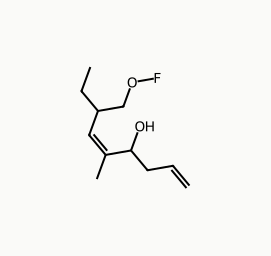 C=CCC(O)/C(C)=C\C(CC)COF